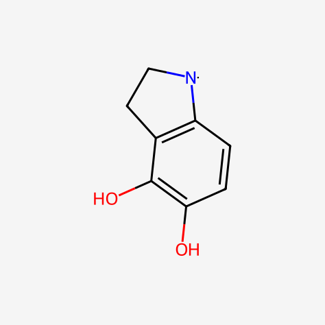 Oc1ccc2c(c1O)CC[N]2